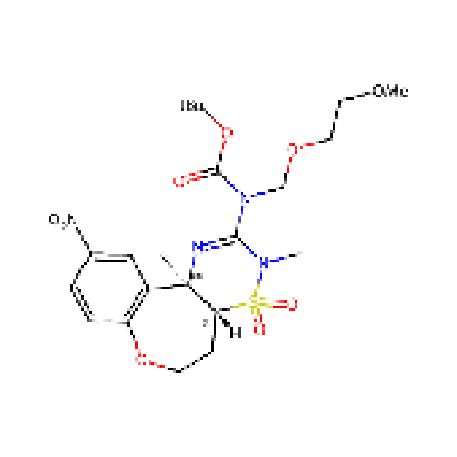 COCCOCN(C(=O)OC(C)(C)C)C1=N[C@]2(C)c3cc([N+](=O)[O-])ccc3OCC[C@H]2S(=O)(=O)N1C